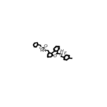 Cc1ccc(CNC(=O)c2ccccc2-c2ccccc2CNC(=O)OCc2ccccc2)c(F)c1